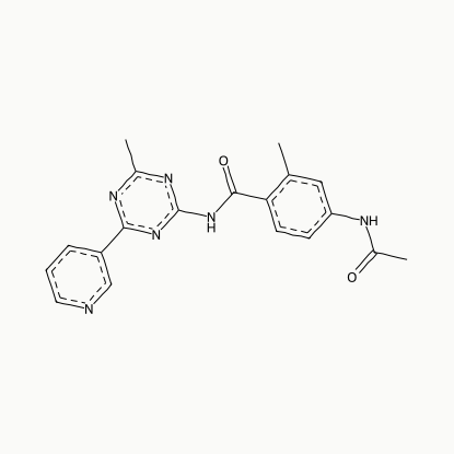 CC(=O)Nc1ccc(C(=O)Nc2nc(C)nc(-c3cccnc3)n2)c(C)c1